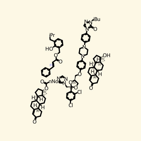 CC(C)Cc1cccc(COC(=O)/C=C/c2ccccc2)c1O.CCC(C)n1ncn(-c2ccc(N3CCN(c4ccc(OC[C@H]5CO[C@](Cn6cncn6)(c6ccc(Cl)cc6Cl)O5)cc4)CC3)cc2)c1=O.CCCCCCCCCC(=O)O[C@H]1CC[C@H]2[C@@H]3CCC4=CC(=O)CC[C@@H]4[C@H]3CC[C@]12C.C[C@]12CC[C@H]3[C@@H](CCC4=CC(=O)CC[C@@H]43)[C@@H]1CC[C@@H]2O